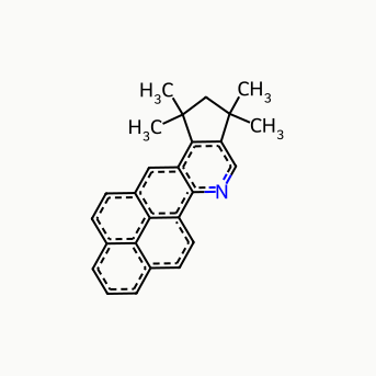 CC1(C)CC(C)(C)c2c1cnc1c2cc2ccc3cccc4ccc1c2c34